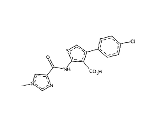 Cn1cnc(C(=O)Nc2scc(-c3ccc(Cl)cc3)c2C(=O)O)c1